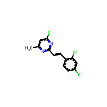 Cc1cc(Cl)nc(/C=C/c2ccc(Cl)cc2Cl)n1